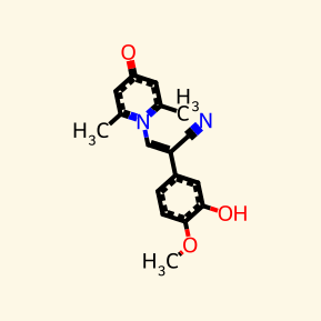 COc1ccc(/C(C#N)=C/n2c(C)cc(=O)cc2C)cc1O